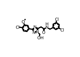 COc1cc(-c2nc(CC(=O)NCc3cc(Cl)cc(Cl)c3)n(CO)n2)ccc1Cl